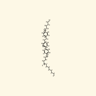 CCCCCCCC[C@H](C)CCCOc1ccc(-c2ccc(CCc3ccc(OCCCCC)cc3)cn2)cc1